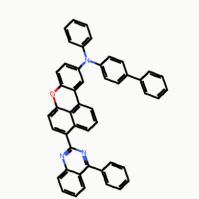 c1ccc(-c2ccc(N(c3ccccc3)c3ccc4c(c3)-c3cccc5c(-c6nc(-c7ccccc7)c7ccccc7n6)ccc(c35)O4)cc2)cc1